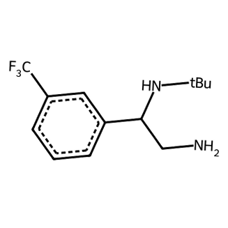 CC(C)(C)NC(CN)c1cccc(C(F)(F)F)c1